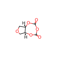 O=C1OC(=O)O[C@@H]2COC[C@@H]2O1